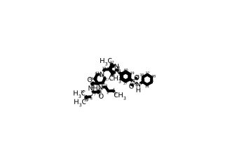 CCCCN1C(=O)[C@H](CC(C)C)NC(=O)C12CCN(Cc1c(C)nn(-c3ccc(S(=O)(=O)NC4CCCCC4)cc3)c1C)CC2